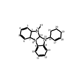 IN1C2C=CC=CC2N2c3ccccc3N(C3C=CCCC3)C12